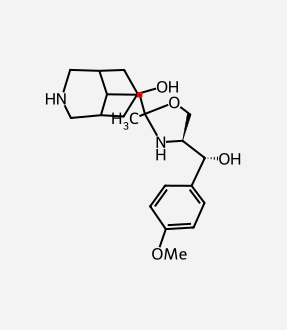 COc1ccc([C@@H](O)[C@@H]2COC(C)(CC3C4CNCC3CC(O)C4)N2)cc1